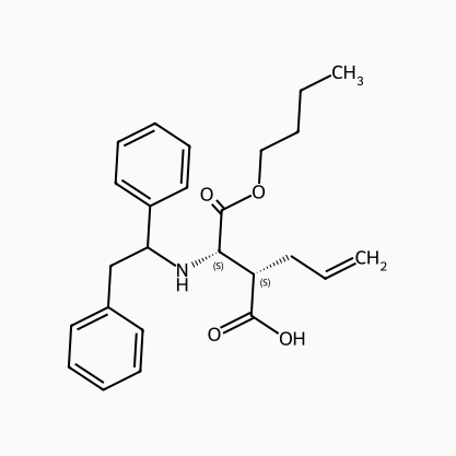 C=CC[C@H](C(=O)O)[C@H](NC(Cc1ccccc1)c1ccccc1)C(=O)OCCCC